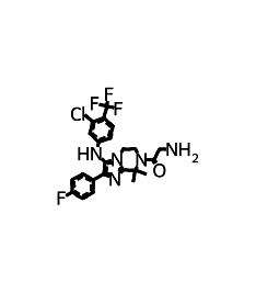 CC1(C)c2nc(-c3ccc(F)cc3)c(Nc3ccc(C(F)(F)F)c(Cl)c3)n2CCN1C(=O)CN